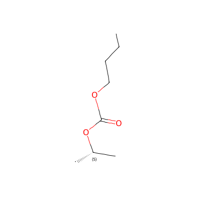 [CH2][C@@H](C)OC(=O)OCCCC